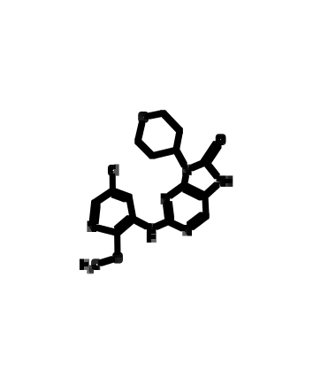 COc1ncc(Cl)cc1Nc1ncc2[nH]c(=O)n(C3CCOCC3)c2n1